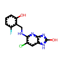 Oc1nc2nc(NCc3c(O)cccc3F)c(Cl)cc2[nH]1